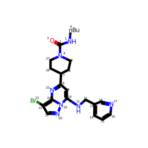 CCCCNC(=O)N1CCC(c2cc(NCc3cccnc3)n3ncc(Br)c3n2)CC1